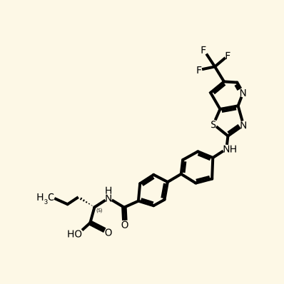 CCC[C@H](NC(=O)c1ccc(-c2ccc(Nc3nc4ncc(C(F)(F)F)cc4s3)cc2)cc1)C(=O)O